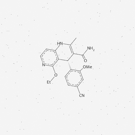 CCOc1nccc2c1[C@@H](c1ccc(C#N)cc1OC)C(C(N)=O)=C(C)N2